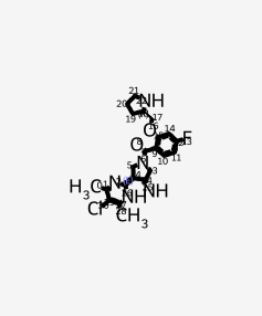 CC1=N/C(=C2\CN(C(=O)c3ccc(F)cc3OC[C@H]3CCCN3)CC2=N)NC(C)=C1Cl